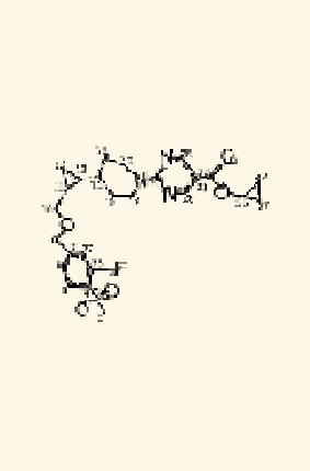 CS(=O)(=O)c1ccc(COC[C@H]2C[C@@H]2C2CCN(c3ncc(C(=O)OC4CC4)cn3)CC2)cc1F